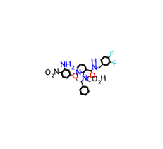 Nc1cc(OC[C@@H](c2ccccc2)N(C(=O)O)c2ncccc2C(=O)NCc2ccc(F)c(F)c2)ccc1[N+](=O)[O-]